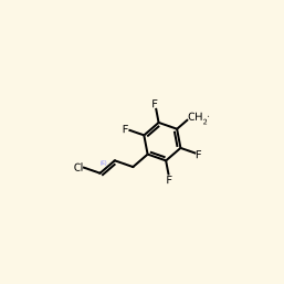 [CH2]c1c(F)c(F)c(C/C=C/Cl)c(F)c1F